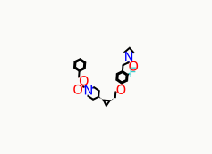 O=C(Cc1ccc(OCC[C@@H]2C[C@@H]2C2CCN(C(=O)OCc3ccccc3)CC2)cc1F)N1CCC1